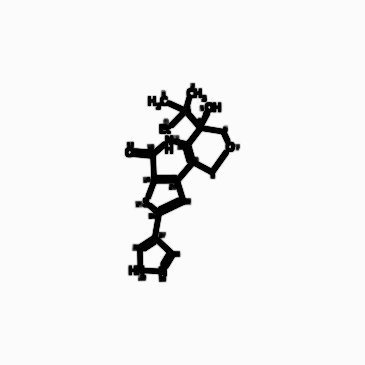 CCC(C)(C)[C@]1(O)COCc2c1[nH]c(=O)c1sc(-c3cn[nH]c3)cc21